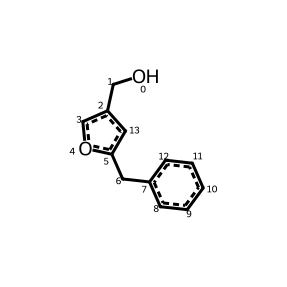 OCc1coc(Cc2ccccc2)c1